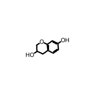 Oc1ccc2c(c1)OCC(O)C2